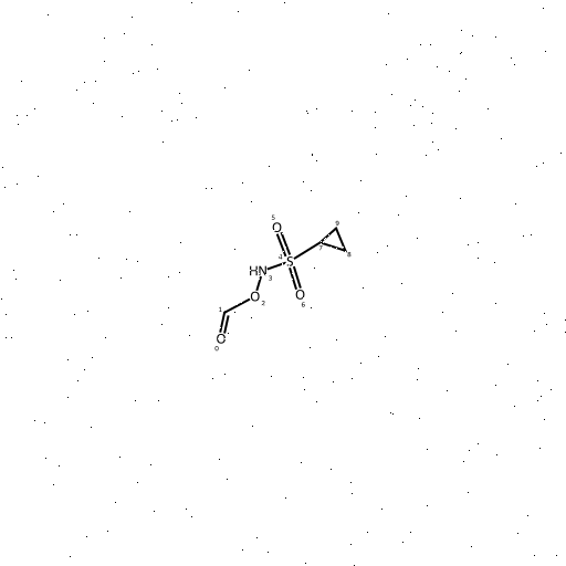 O=CONS(=O)(=O)C1CC1